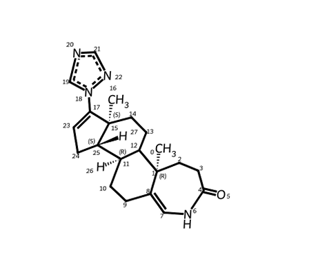 C[C@]12CCC(=O)NC=C1CC[C@@H]1C2CC[C@]2(C)C(n3cncn3)=CC[C@@H]12